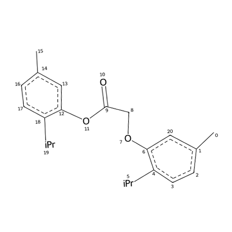 Cc1ccc(C(C)C)c(OCC(=O)Oc2cc(C)ccc2C(C)C)c1